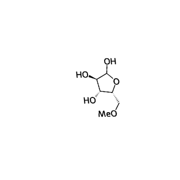 COC[C@H]1OC(O)[C@H](O)[C@H]1O